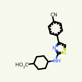 N#Cc1ccc(-c2csc(NC3CCC(C(=O)O)CC3)n2)cc1